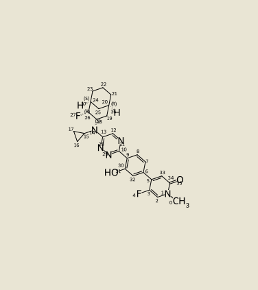 Cn1cc(F)c(-c2ccc(-c3ncc(N(C4CC4)[C@H]4C[C@@H]5CCC[C@@H](C5)[C@H]4F)nn3)c(O)c2)cc1=O